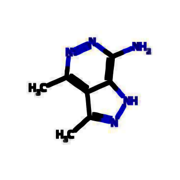 Cc1nnc(N)c2[nH]nc(C)c12